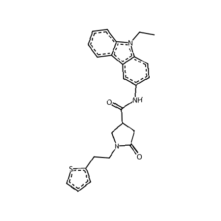 CCn1c2ccccc2c2cc(NC(=O)C3CC(=O)N(CCc4cccs4)C3)ccc21